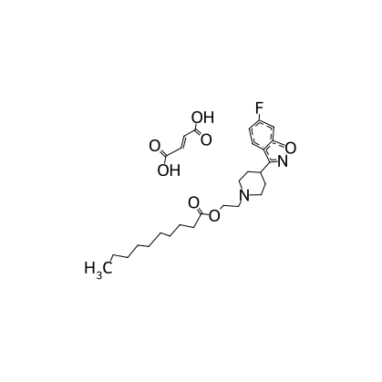 CCCCCCCCCC(=O)OCCN1CCC(c2noc3cc(F)ccc23)CC1.O=C(O)C=CC(=O)O